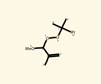 C=C(C)C(OC)OOC(C)(C)C(C)C